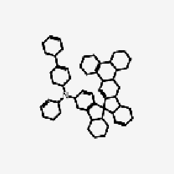 C1=CC(N(C2C=CC3=C(C2)C2CCCCC2C32C3=CC4C5=C(CCCC5)C5CCCCC5C4CC3C3CCC=CC32)C2CC=C(C3CC=CCC3)CC2)CCC1